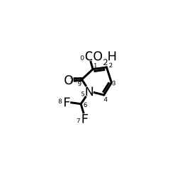 O=C(O)c1cccn(C(F)F)c1=O